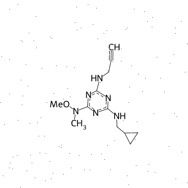 C#CCNc1nc(NCC2CC2)nc(N(C)OC)n1